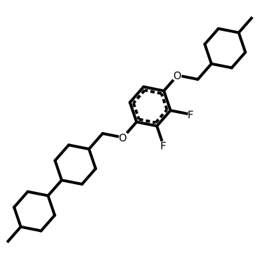 CC1CCC(COc2ccc(OCC3CCC(C4CCC(C)CC4)CC3)c(F)c2F)CC1